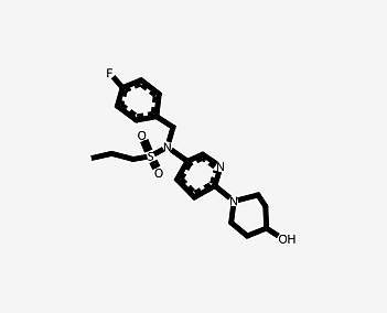 CCCS(=O)(=O)N(Cc1ccc(F)cc1)c1ccc(N2CCC(O)CC2)nc1